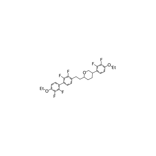 CCOc1ccc(-c2ccc(CCC3CCC(c4ccc(OCC)c(F)c4F)CO3)c(F)c2F)c(F)c1F